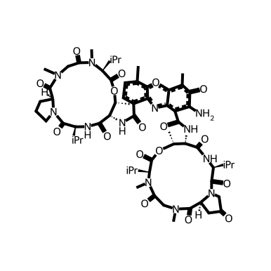 Cc1c2oc3c(C)ccc(C(=O)N[C@@H]4C(=O)N[C@@H](C(C)C)C(=O)N5CCC[C@H]5C(=O)N(C)CC(=O)N(C)[C@@H](C(C)C)C(=O)O[C@@H]4C)c3nc-2c(C(=O)N[C@@H]2C(=O)N[C@@H](C(C)C)C(=O)N3CC(=O)C[C@H]3C(=O)N(C)CC(=O)N(C)[C@@H](C(C)C)C(=O)O[C@@H]2C)c(N)c1=O